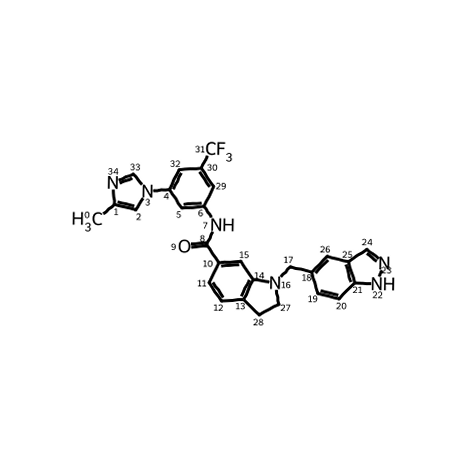 Cc1cn(-c2cc(NC(=O)c3ccc4c(c3)N(Cc3ccc5[nH]ncc5c3)CC4)cc(C(F)(F)F)c2)cn1